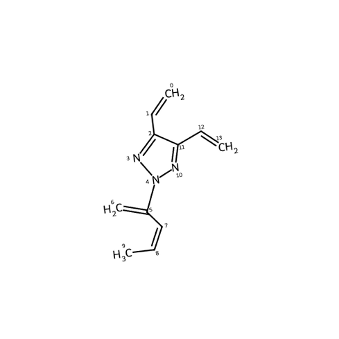 C=Cc1nn(C(=C)/C=C\C)nc1C=C